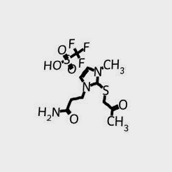 CC(=O)CSC1N(C)C=CN1CCC(N)=O.O=S(=O)(O)C(F)(F)F